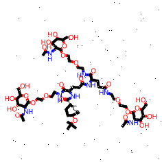 CC(=O)NC1C(OCCOCCNC(=O)CCC(NC(=O)CCC(NC(=O)[C@H]2CC[C@H](OC(C)(C)C)CC2)C(=O)NCCOCCOC2OC(CO)C(O)C(O)C2NC(C)=O)C(=O)NCCOCCOC2OC(CO)C(O)C(O)C2NC(C)O)OC(CO)C(O)C1O